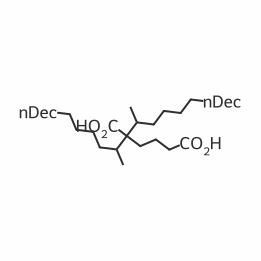 CCCCCCCCCCCCCCC(C)C(CCCC(=O)O)(C(=O)O)C(C)CCCCCCCCCCCCCC